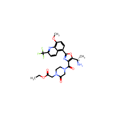 CCOC(=O)CN1CCN(C(=O)c2nc(-c3ccc(OC)c4nc(C(F)(F)F)ccc34)oc2[C@H](C)N)CC1=O